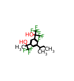 CCC(C)c1cc(C(C)(O)C(F)(F)F)cc(C(O)(C(F)(F)F)C(F)(F)F)c1